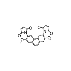 COc1cc2ccc3cc(OC)c(N4C(=O)C=CC4=O)cc3c2cc1N1C(=O)C=CC1=O